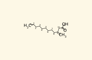 C=CCCCCCCCC(C)CC(=O)O